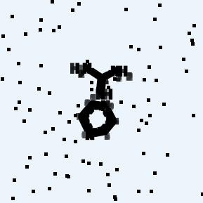 N=C(N)N.c1cnccn1